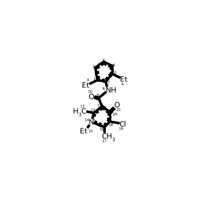 CCc1cccc(CC)c1NC(=O)c1c(C)n(CC)c(C)c(Cl)c1=O